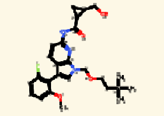 COc1cccc(F)c1-c1cn(COCC[Si](C)(C)C)c2nc(NC(=O)C3CC3CO)ccc12